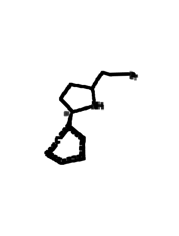 CC(C)CC1CC[C@H](c2ccccc2)N1